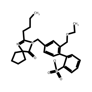 CCCCC1=NC2(CCCC2)C(=O)N1Cc1ccc(-c2ccccc2S(=O)(=O)Cl)c(COCC)c1